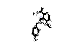 C=C(N)C1=NC=CC(NC)/C1=C\NCc1ccc(O)nc1